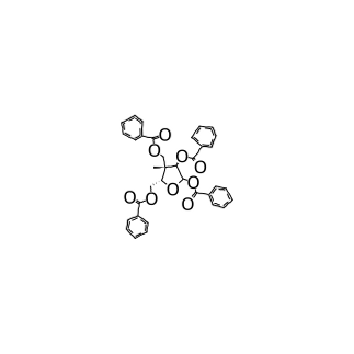 C[C@]1(COC(=O)c2ccccc2)[C@@H](COC(=O)c2ccccc2)OC(OC(=O)c2ccccc2)[C@@H]1OC(=O)c1ccccc1